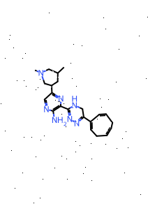 CC1CC(c2cnc(N)c(C3=NN=C(C4=CC/C=C\C/C=C\4)CN3)n2)CN(C)C1